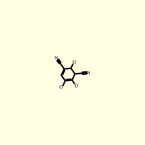 N#C[C]1C(Cl)=C(Cl)C=C(C#N)C1Cl